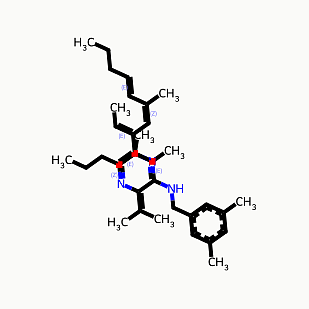 C/C=C(\C=C(C)/C=C/CCC)C(=C\CCC)/N=C(/NCc1cc(C)cc(C)c1)C(/N=C\C(C)CC)=C(C)C